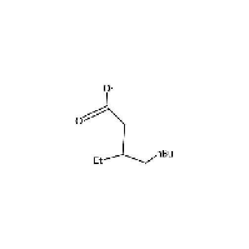 CCCCCC(CC)CC([O])=O